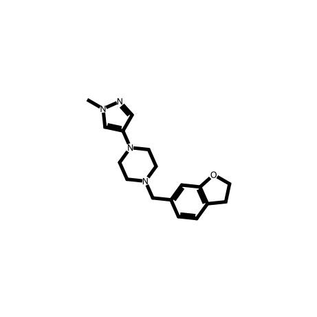 Cn1cc(N2CCN(Cc3ccc4c(c3)OCC4)CC2)cn1